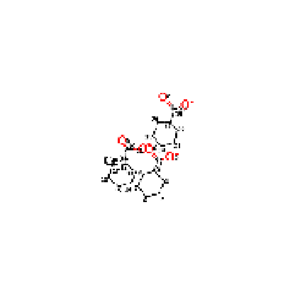 O=C([O-])C1CCCCC1.O=C([O-])C1CCCCC1.O=C([O-])C1CCCCC1.[Ce+3]